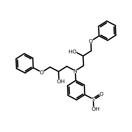 O=S(O)c1cccc(N(CC(O)COc2ccccc2)CC(O)COc2ccccc2)c1